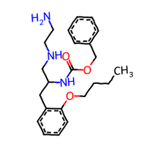 CCCCOc1ccccc1CC(CNCCN)NC(=O)OCc1ccccc1